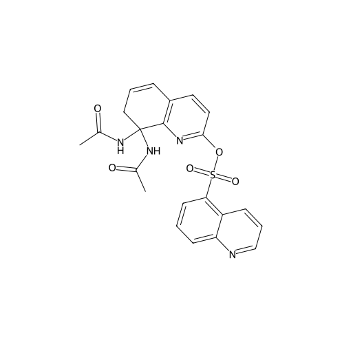 CC(=O)NC1(NC(C)=O)CC=Cc2ccc(OS(=O)(=O)c3cccc4ncccc34)nc21